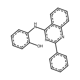 Oc1ccccc1Nc1nc(-c2ccccc2)nc2ccccc12